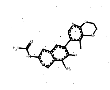 Cc1c(-c2cc3cc(NC(N)=O)ncc3c(N)c2F)cnc2c1NCCO2